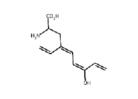 C=C/C(=C\C=C(\O)C=C)CC(N)C(=O)O